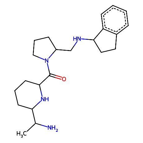 CC(N)C1CCCC(C(=O)N2CCCC2CNC2CCc3ccccc32)N1